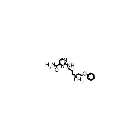 CN(CCCNc1nccc(C(N)=O)n1)CCOc1ccccc1